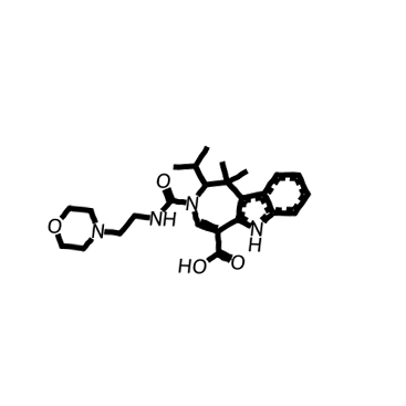 CC(C)C1N(C(=O)NCCN2CCOCC2)C=C(C(=O)O)c2[nH]c3ccccc3c2C1(C)C